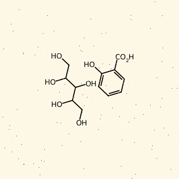 O=C(O)c1ccccc1O.OCC(O)C(O)C(O)CO